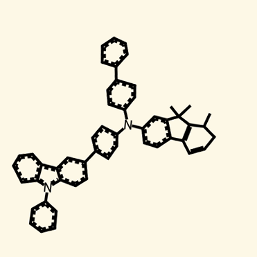 CC1CC=CC2=C1C(C)(C)c1cc(N(c3ccc(-c4ccccc4)cc3)c3ccc(-c4ccc5c(c4)c4ccccc4n5-c4ccccc4)cc3)ccc12